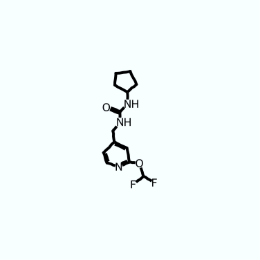 O=C(NCc1ccnc(OC(F)F)c1)NC1CCCC1